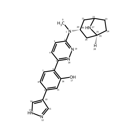 CN(c1ccc(-c2ccc(-c3cn[nH]c3)cc2O)nn1)[C@@H]1CC2CC[C@@H](C1)N2